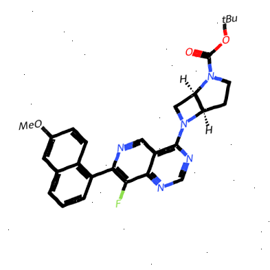 COc1ccc2c(-c3ncc4c(N5C[C@@H]6[C@H]5CCN6C(=O)OC(C)(C)C)ncnc4c3F)cccc2c1